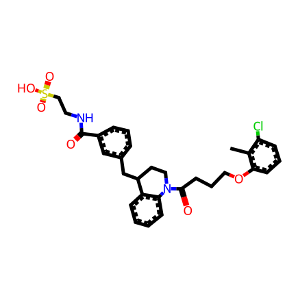 Cc1c(Cl)cccc1OCCCC(=O)N1CCC(Cc2cccc(C(=O)NCCS(=O)(=O)O)c2)c2ccccc21